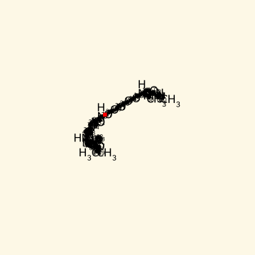 Cc1cnc(NC(=O)c2ccc(NCCOCCOCCOCCOCCOCCNC(=O)CN3CCN(c4ccc(Nc5ncc6c(n5)N(C5CCCC5)C(C(=O)N(C)C)C6)nc4)CC3)cc2C)s1